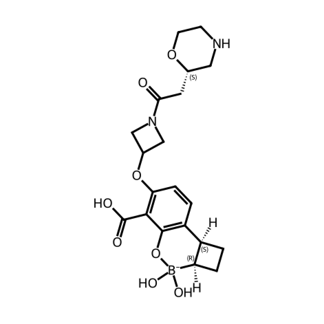 O=C(O)c1c(OC2CN(C(=O)C[C@H]3CNCCO3)C2)ccc2c1O[B-](O)(O)[C@@H]1CC[C@H]21